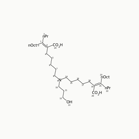 CCCCCCCC/C(CCC)=C(\CCCCCN(CCCO)CCCCC/C(C(=O)O)=C(/CCC)CCCCCCCC)C(=O)O